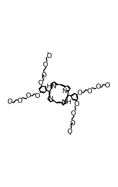 COCCOCCOCCOc1cc(OCCOCCOCCOC)cc(-c2c3nc(cc4ccc([nH]4)c(-c4cc(OCCOCCOCCOC)cc(OCCOCCOCCOC)c4)c4nc(cc5ccc2[nH]5)C=C4)C=C3)c1